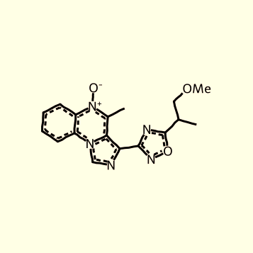 COCC(C)c1nc(-c2ncn3c2c(C)[n+]([O-])c2ccccc23)no1